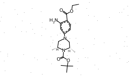 CCOC(=O)c1ccc(N2C[C@@H](C)N(C(=O)OC(C)(C)C)[C@@H](C)C2)cc1N